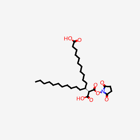 CCCCCCCCCCCC(CCCCCCCCCCC(=O)O)[C@@H](C(=O)O)C(=O)ON1C(=O)CCC1=O